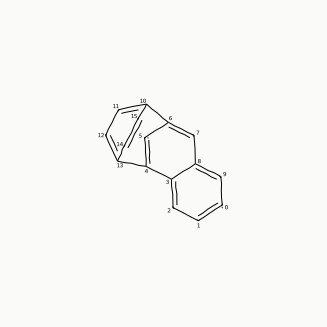 [c]1ccc2c3[c]c(cc2c1)-c1ccc-3cc1